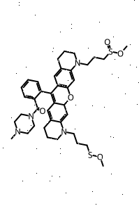 COSCCCN1CCCC2=CC3=C(c4ccccc4C(=O)N4CCN(C)CC4)c4cc5c(cc4OC3C=C21)N(CCCS(=O)OC)CCC5